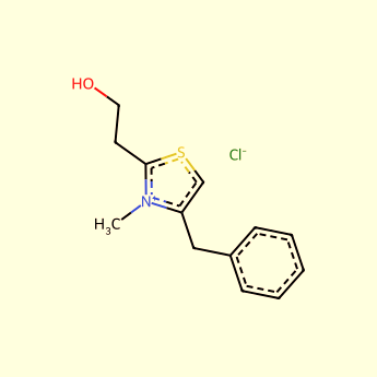 C[n+]1c(Cc2ccccc2)csc1CCO.[Cl-]